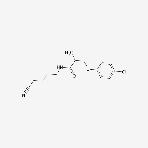 CC(COc1ccc(Cl)cc1)C(=O)NCCCCC#N